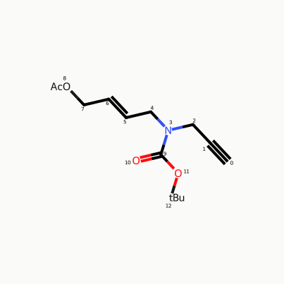 C#CCN(C/C=C/COC(C)=O)C(=O)OC(C)(C)C